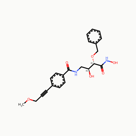 COCC#Cc1ccc(C(=O)NC[C@H](O)[C@H](OCc2ccccc2)C(=O)NO)cc1